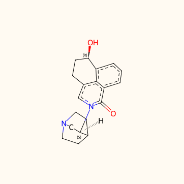 O=c1c2cccc3c2c(cn1[C@@H]1CN2CCC1CC2)CC[C@H]3O